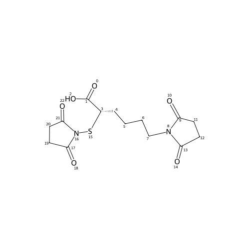 O=C(O)[C@H](CCCCN1C(=O)CCC1=O)SN1C(=O)CCC1=O